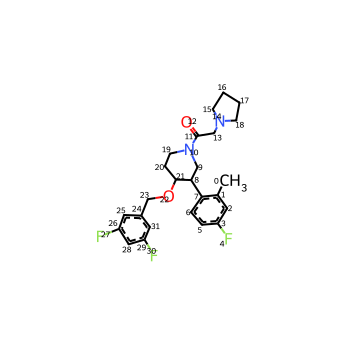 Cc1cc(F)ccc1C1CN(C(=O)CN2CCCC2)CCC1OCc1cc(F)cc(F)c1